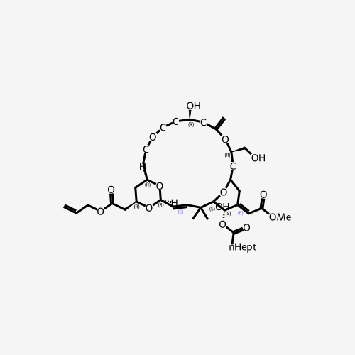 C=CCOC(=O)C[C@H]1C[C@H]2CCOCC[C@@H](O)CC(=C)O[C@@H](CO)CC3C/C(=C\C(=O)OC)[C@H](OC(=O)CCCCCCC)[C@@](O)(O3)C(C)(C)/C=C/[C@H](O2)O1